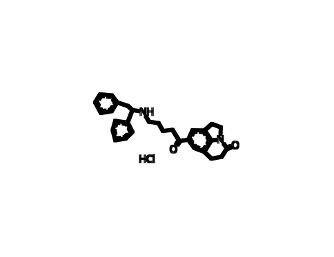 Cl.O=C(CCCCNC(Cc1ccccc1)c1ccccc1)c1cc2c3c(c1)CCN3C(=O)CC2